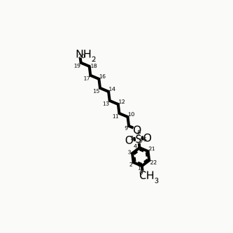 Cc1ccc(S(=O)(=O)OCCCCCCCCCCCN)cc1